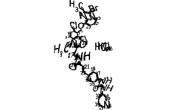 Cc1nc2c(OCc3c(Cl)ccc(N(C)C(=O)CNC(=O)C=Cc4ccc(NC(=O)Nc5cccnc5)cc4)c3Cl)cccn2c1Br.Cl.Cl